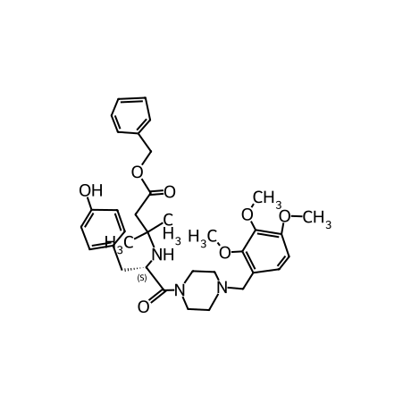 COc1ccc(CN2CCN(C(=O)[C@H](Cc3ccc(O)cc3)NC(C)(C)CC(=O)OCc3ccccc3)CC2)c(OC)c1OC